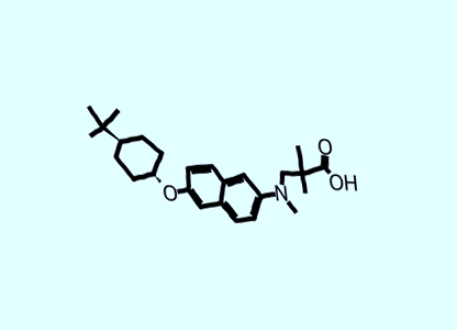 CN(CC(C)(C)C(=O)O)c1ccc2cc(O[C@H]3CC[C@H](C(C)(C)C)CC3)ccc2c1